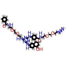 [N-]=[N+]=NCCOCCOCCNC(=O)c1ccc(Nc2nc(NCCOCCOCCNC(=O)c3ccccc3)nc(Nc3ccc4c(c3)CCC=C4O)n2)cc1